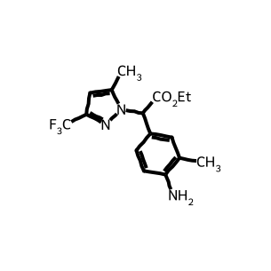 CCOC(=O)C(c1ccc(N)c(C)c1)n1nc(C(F)(F)F)cc1C